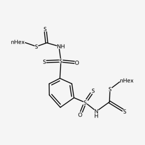 CCCCCCSC(=S)NS(=O)(=S)c1cccc(S(=O)(=S)NC(=S)SCCCCCC)c1